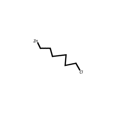 ClCCCCC[CH2][Zn]